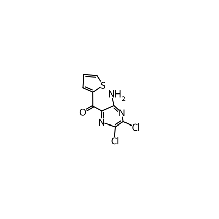 Nc1nc(Cl)c(Cl)nc1C(=O)c1cccs1